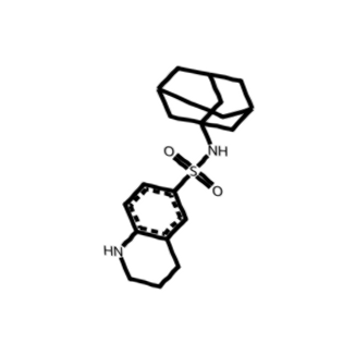 O=S(=O)(NC12CC3CC(CC(C3)C1)C2)c1ccc2c(c1)CCCN2